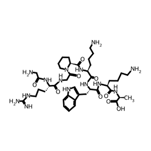 C[C@H](NC(=O)[C@H](CCCCN)NC(=O)[C@H](Cc1c[nH]c2ccccc12)NC(=O)[C@H](CCCCN)NC(=O)[C@@H]1CCCCN1C(=O)CNC(=O)[C@H](CCCNC(=N)N)NC(=O)CN)C(=O)O